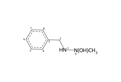 CN(O)NCc1ccccc1